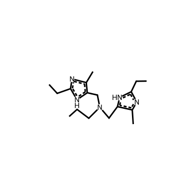 CCCN(Cc1[nH]c(CC)nc1C)Cc1[nH]c(CC)nc1C